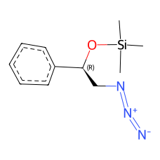 C[Si](C)(C)O[C@@H](CN=[N+]=[N-])c1ccccc1